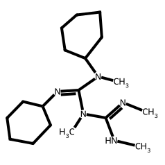 CN=C(NC)N(C)C(=NC1CCCCC1)N(C)C1CCCCC1